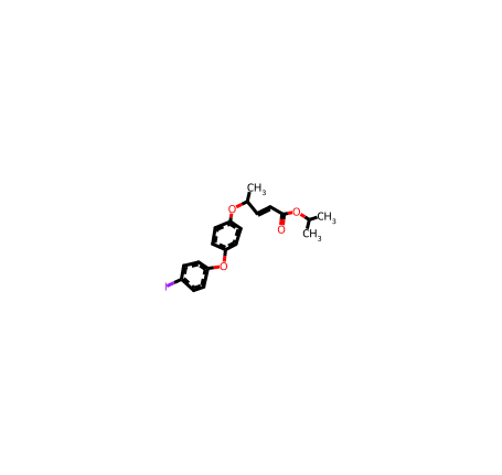 CC(C)OC(=O)C=CC(C)Oc1ccc(Oc2ccc(I)cc2)cc1